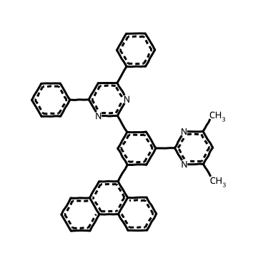 Cc1cc(C)nc(-c2cc(-c3nc(-c4ccccc4)cc(-c4ccccc4)n3)cc(-c3cc4ccccc4c4ccccc34)c2)n1